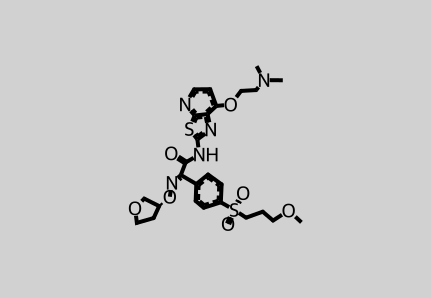 COCCCS(=O)(=O)c1ccc(/C(=N\O[C@@H]2CCOC2)C(=O)Nc2nc3c(OCCN(C)C)ccnc3s2)cc1